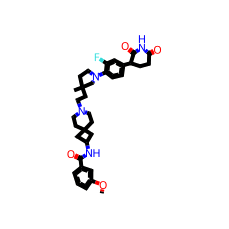 COc1cccc(C(=O)NC2CC3(CCN(CCC4(C)CCN(c5ccc(C6CCC(=O)NC6=O)cc5F)C4)CC3)C2)c1